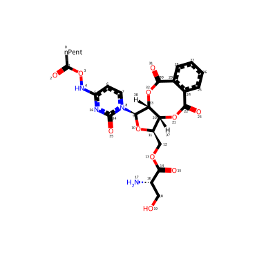 CCCCCC(=O)ONc1ccn([C@@H]2O[C@H](COC(=O)[C@@H](N)CO)[C@H]3OC(=O)c4ccccc4C(=O)O[C@H]32)c(=O)n1